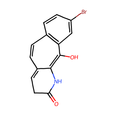 O=C1CC=C2C=Cc3ccc(Br)cc3C(O)=C2N1